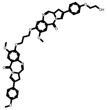 COc1ccc(C2=CN3C(=O)c4cc(OC)c(OCCCOc5cc6c(cc5OC)C(=O)N5C=C(c7ccc(OCCO)cc7)CC5C=N6)cc4N=CC3C2)cc1